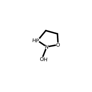 ON1OCCP1